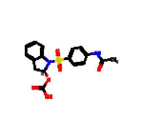 CC(=O)Nc1ccc(S(=O)(=O)N2c3ccccc3C[C@H]2OC(=O)O)cc1